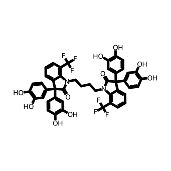 O=C1N(CCCCN2C(=O)C(c3ccc(O)c(O)c3)(c3ccc(O)c(O)c3)c3cccc(C(F)(F)F)c32)c2c(C(F)(F)F)cccc2C1(c1ccc(O)c(O)c1)c1ccc(O)c(O)c1